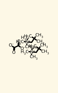 CC(C)(C)C[N+](C)(C)C.CC(C)(C)C[N+](C)(C)C.O=C([O-])C(=O)[O-]